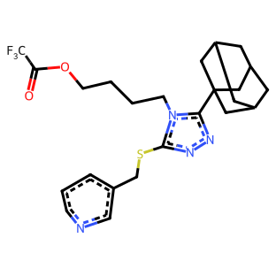 O=C(OCCCCn1c(SCc2cccnc2)nnc1C12CC3CC(CC(C3)C1)C2)C(F)(F)F